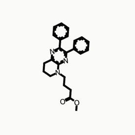 COC(=O)CCCN1CCCc2nc(-c3ccccc3)c(-c3ccccc3)nc21